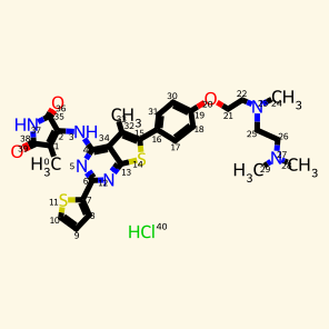 CC1=C(Nc2nc(-c3cccs3)nc3sc(-c4ccc(OCCN(C)CCN(C)C)cc4)c(C)c23)C(=O)NC1=O.Cl